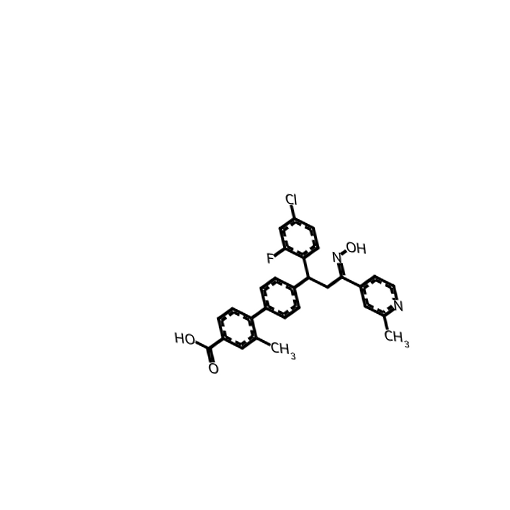 Cc1cc(/C(CC(c2ccc(-c3ccc(C(=O)O)cc3C)cc2)c2ccc(Cl)cc2F)=N\O)ccn1